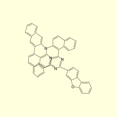 c1ccc(-c2nc(-c3ccc4c(c3)oc3ccccc34)nc(-c3c(N4c5cc6ccccc6cc5-c5cccc6cccc4c56)ccc4ccccc34)n2)cc1